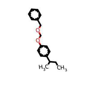 CCC(C)c1ccc(OCOCc2ccccc2)cc1